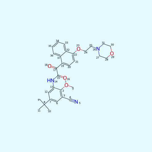 COc1c(C#N)cc(C(C)(C)C)cc1NC(=O)C(=O)c1ccc(OCCN2CCOCC2)c2ccccc12